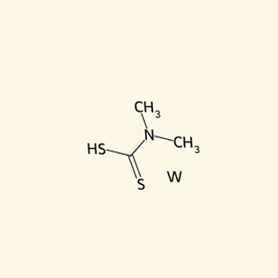 CN(C)C(=S)S.[W]